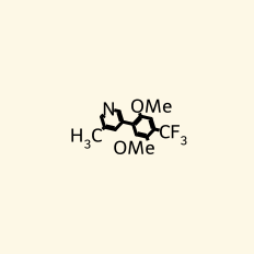 COc1cc(C(F)(F)F)c(OC)cc1-c1cncc(C)c1